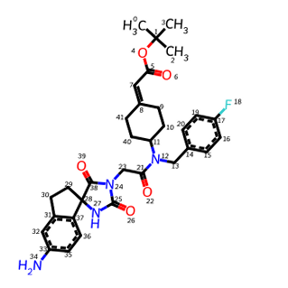 CC(C)(C)OC(=O)C=C1CCC(N(Cc2ccc(F)cc2)C(=O)CN2C(=O)NC3(CCc4cc(N)ccc43)C2=O)CC1